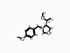 COc1ccc(CN2COC[C@@H]2C(C)OC)cc1